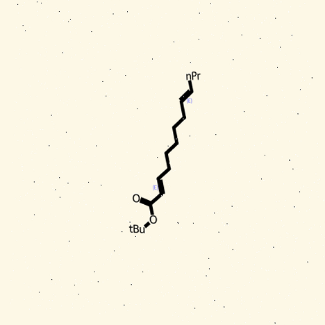 CCC/C=C/CCCCC/C=C/C(=O)OC(C)(C)C